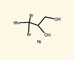 CC(C)(C)C(Br)(Br)C(O)CO.[Ni]